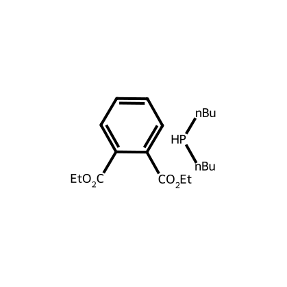 CCCCPCCCC.CCOC(=O)c1ccccc1C(=O)OCC